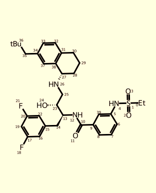 CCS(=O)(=O)Nc1cccc(C(=O)N[C@@H](Cc2cc(F)cc(F)c2)[C@H](O)CN[C@H]2CCCc3ccc(CC(C)(C)C)cc32)c1